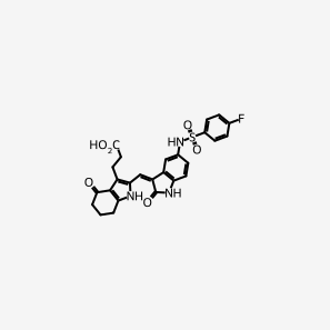 O=C(O)CCc1c(/C=C2\C(=O)Nc3ccc(NS(=O)(=O)c4ccc(F)cc4)cc32)[nH]c2c1C(=O)CCC2